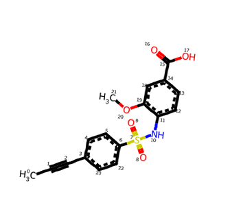 CC#Cc1ccc(S(=O)(=O)Nc2ccc(C(=O)O)cc2OC)cc1